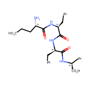 CC(C)C[C@H](NC(=O)[C@@H](N)CCC(=O)O)C(=O)N[C@H](CC(C)C)C(=O)N[C@H](C(=O)O)C(C)C